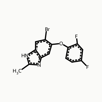 Cc1nc2cc(Oc3ccc(F)cc3F)c(Br)cc2[nH]1